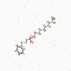 O=C(CCCc1ccccc1)OCCCCCCCCCBr